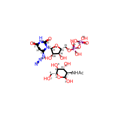 CC(=O)N[C@H]1C(O)O[C@H](CO)[C@@H](O)[C@@H]1O.[N-]=[N+]=Nc1cc(=O)[nH]c(=O)n1[C@@H]1O[C@H](COP(=O)(O)OP(=O)(O)O)[C@@H](O)[C@H]1O